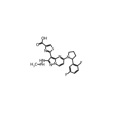 CPNc1nn2ccc(N3CCCC3c3cc(F)ccc3F)nc2c1-c1nc(C(=O)O)cs1